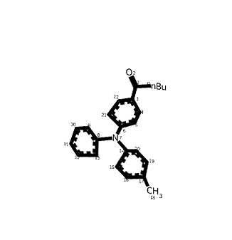 CCCCC(=O)c1ccc(N(c2ccccc2)c2ccc(C)cc2)cc1